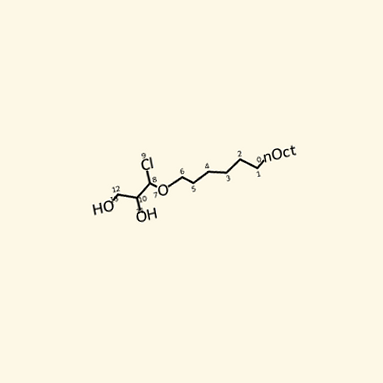 CCCCCCCCCCCCCCOC(Cl)C(O)CO